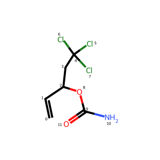 C=CC(CC(Cl)(Cl)Cl)OC(N)=O